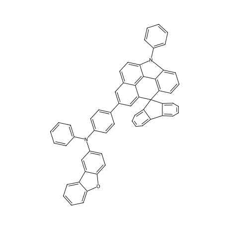 c1ccc(N(c2ccc(-c3cc4c5c(ccc6c5c5c(cccc5n6-c5ccccc5)C45c4ccccc4-c4ccccc45)c3)cc2)c2ccc3oc4ccccc4c3c2)cc1